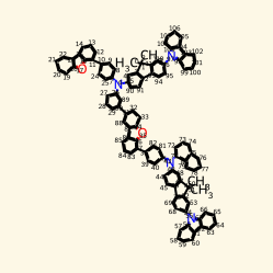 CC1(C)c2cc(N(c3ccc(-c4cccc5c4oc4ccccc45)cc3)c3cccc(-c4ccc5oc6c(-c7ccc(N(c8ccc9c(c8)C(C)(C)c8cc(-n%10c%11ccccc%11c%11ccccc%11%10)ccc8-9)c8cccc9ccccc89)cc7)cccc6c5c4)c3)ccc2-c2ccc(-n3c4ccccc4c4ccccc43)cc21